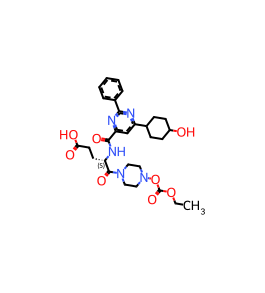 CCOC(=O)ON1CCN(C(=O)[C@H](CCC(=O)O)NC(=O)c2cc(C3CCC(O)CC3)nc(-c3ccccc3)n2)CC1